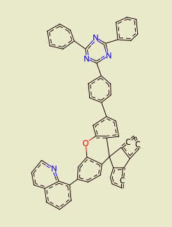 c1ccc(-c2nc(-c3ccccc3)nc(-c3ccc(-c4ccc5c(c4)Oc4cc(-c6cccc7cccnc67)ccc4C54c5ccccc5-c5ccccc54)cc3)n2)cc1